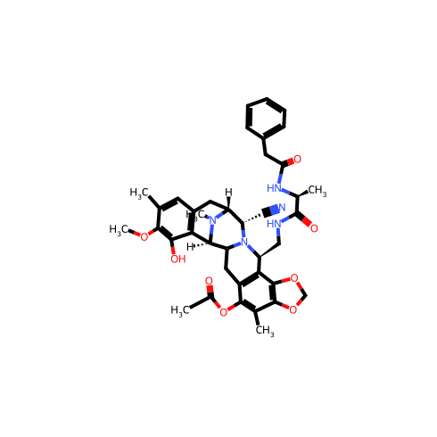 COc1c(C)cc2c(c1O)[C@@H]1C3Cc4c(OC(C)=O)c(C)c5c(c4[C@H](CNC(=O)[C@H](C)NC(=O)Cc4ccccc4)N3[C@@H](C#N)[C@@H](C2)N1C)OCO5